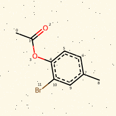 CC(=O)Oc1ccc(C)cc1Br